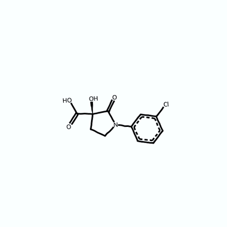 O=C(O)[C@@]1(O)CCN(c2cccc(Cl)c2)C1=O